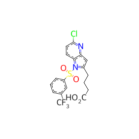 O=C(O)CCCc1cc2nc(Cl)ccc2n1S(=O)(=O)c1cccc(C(F)(F)F)c1